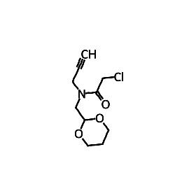 C#CCN(CC1OCCCO1)C(=O)CCl